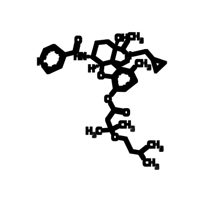 Cc1ccc(OC(=O)CC(C)(C)OCCC(C)C)c2c1C13CCN(CC4CC4)C(C)[C@]1(O)CC[C@@H](NC(=O)c1ccncc1)[C@@H]3O2